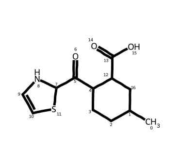 CC1CCC(C(=O)C2NC=CS2)C(C(=O)O)C1